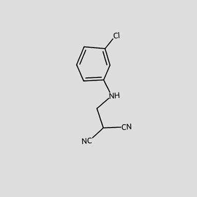 N#CC(C#N)CNc1cccc(Cl)c1